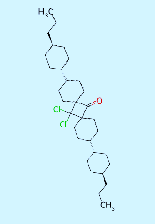 CCC[C@H]1CC[C@H](C2CCC3(CC2)C(=O)C2(CCC([C@H]4CC[C@H](CCC)CC4)CC2)C3(Cl)Cl)CC1